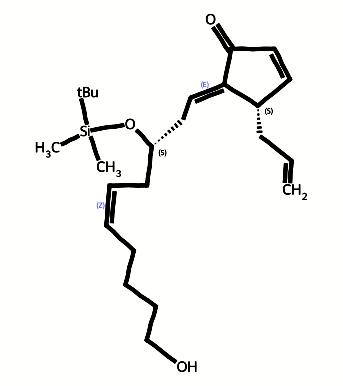 C=CC[C@H]1C=CC(=O)/C1=C/C[C@H](C/C=C\CCCCO)O[Si](C)(C)C(C)(C)C